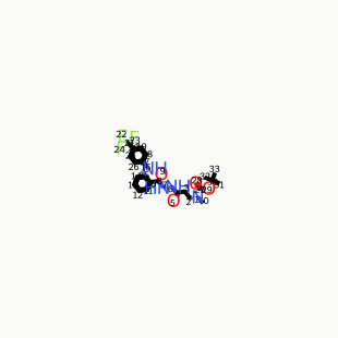 CN(CCC(=O)NNC(=O)c1ccccc1Nc1ccc(C(F)(F)F)cc1)C(=O)OC(C)(C)C